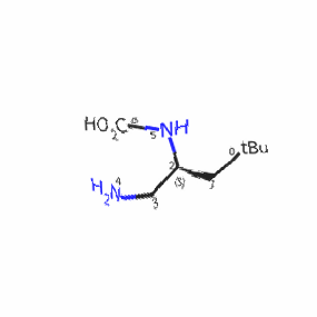 CC(C)(C)C[C@@H](CN)NC(=O)O